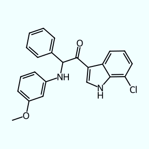 COc1cccc(NC(C(=O)c2c[nH]c3c(Cl)cccc23)c2ccccc2)c1